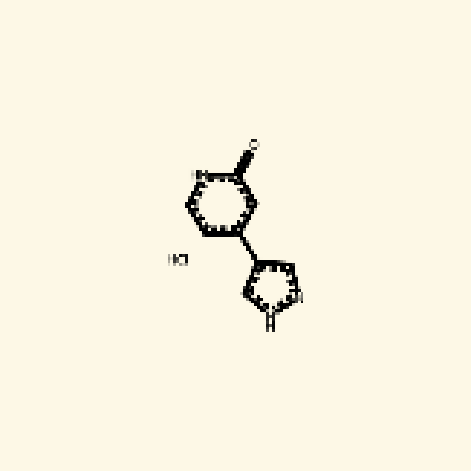 Cl.O=c1cc(-c2cn[nH]c2)cc[nH]1